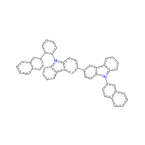 c1ccc(-n2c3ccccc3c3cc(-c4ccc5c(c4)c4ccccc4n5-c4ccc5ccccc5c4)ccc32)c(-c2ccc3ccccc3c2)c1